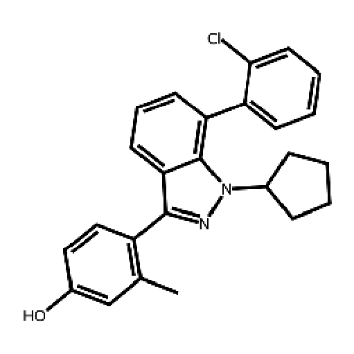 Cc1cc(O)ccc1-c1nn(C2CCCC2)c2c(-c3ccccc3Cl)cccc12